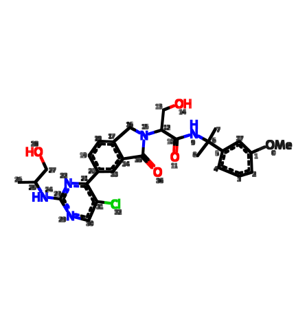 COc1cccc(C(C)(C)NC(=O)C(CO)N2Cc3ccc(-c4nc(NC(C)CO)ncc4Cl)cc3C2=O)c1